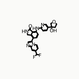 O=C1NCc2c(-c3cnc4cc(C(F)F)ccn34)ccc(Nc3ccc([C@@]4(O)CCOC4)cn3)c21